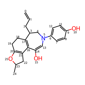 C=CCC1CN(c2ccc(O)cc2)C=C(O)C2=C1CCC1=C2CC(C)O1